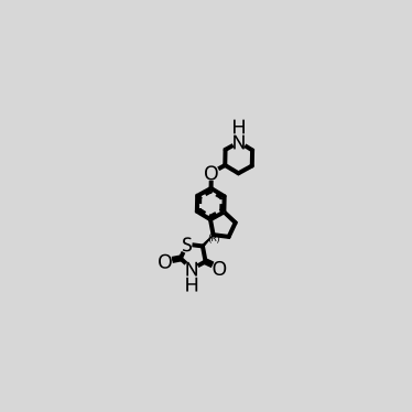 O=C1NC(=O)C([C@@H]2CCc3cc(OC4CCCNC4)ccc32)S1